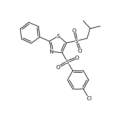 CC(C)CS(=O)(=O)c1sc(-c2ccccc2)nc1S(=O)(=O)c1ccc(Cl)cc1